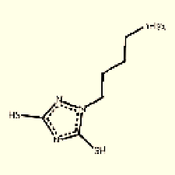 CCCCCCCCCCn1nc(S)nc1S